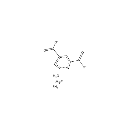 O.O=C([O-])c1cccc(C(=O)[O-])c1.P.[Mg+2]